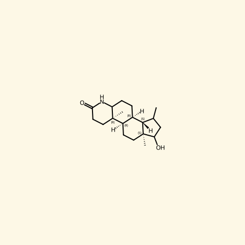 CC1CC(O)[C@@]2(C)CC[C@@H]3[C@@H](CCC4NC(=O)CC[C@@]43C)[C@H]12